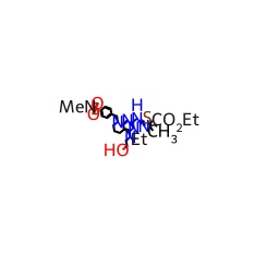 CCOC(=O)c1sc(Nc2nc(N(CC)CCO)c3c(n2)N(Cc2ccc(S(=O)(=O)NC)cc2)CCC3)nc1C